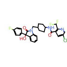 O=C(NC1CCC(CN2C(=O)C(O)(c3ccc(F)cc3)c3ccccc32)CC1)c1cc(Cl)cnc1C(F)F